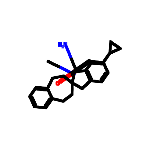 CN1C(=O)C2(N=C1N)c1cc(C3CC3)ccc1CC21CCc2ccccc2CC1